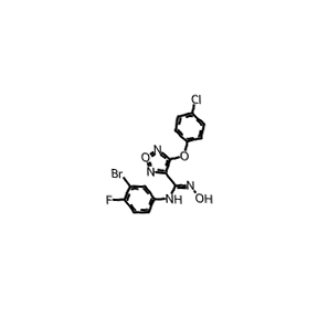 O/N=C(\Nc1ccc(F)c(Br)c1)c1nonc1Oc1ccc(Cl)cc1